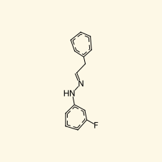 Fc1cccc(N/N=C/Cc2ccccc2)c1